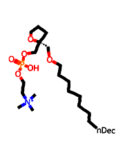 CCCCCCCCCCCCCCCCCCOC[C@@]1(COP(=O)(O)OCC[N+](C)(C)C)CCCO1